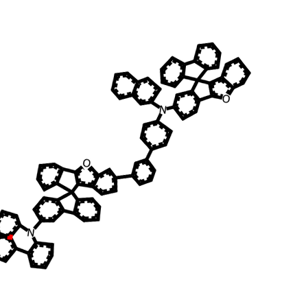 c1ccc(-c2ccccc2N(c2ccccc2)c2ccc3c(c2)-c2ccccc2C32c3ccccc3-c3oc4cc(-c5cccc(-c6ccc(N(c7ccc8c(c7)C7(c9ccccc9-c9ccccc97)c7c-8oc8ccccc78)c7ccc8ccccc8c7)cc6)c5)ccc4c32)cc1